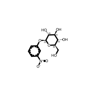 O=[N+]([O-])c1cccc(O[C@@H]2O[C@H](CO)[C@@H](O)[C@H](O)[C@H]2O)c1